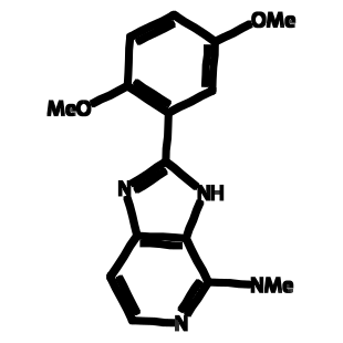 CNc1nccc2nc(-c3cc(OC)ccc3OC)[nH]c12